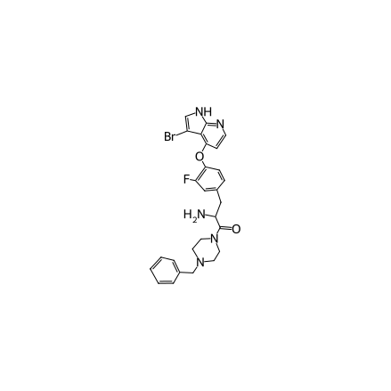 NC(Cc1ccc(Oc2ccnc3[nH]cc(Br)c23)c(F)c1)C(=O)N1CCN(Cc2ccccc2)CC1